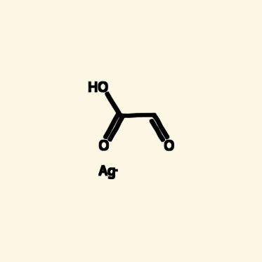 O=CC(=O)O.[Ag]